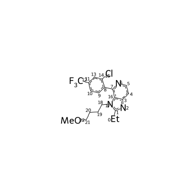 CCc1nc2ccnc(-c3ccc(C(F)(F)F)cc3Cl)c2n1CCCCOC